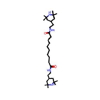 CC1(C)CC(CCNC(=O)CCCCCCCCC(=O)NCCC2CC(C)(C)NC(C)(C)C2)CC(C)(C)N1